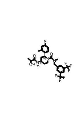 Cc1cc(F)ccc1[C@H]1C[C@H](NC(=O)C(C)O)CCN1C(=O)N(C)Cc1cc(C(F)(F)F)cc(C(F)(F)F)c1